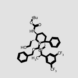 C[C@@H](OC[C@@]1(c2ccccc2)CC[C@H](NC(=O)OC(C)(C)C)[C@@H](CCO)N1C(=O)OCc1ccccc1)c1cc(C(F)(F)F)cc(C(F)(F)F)c1